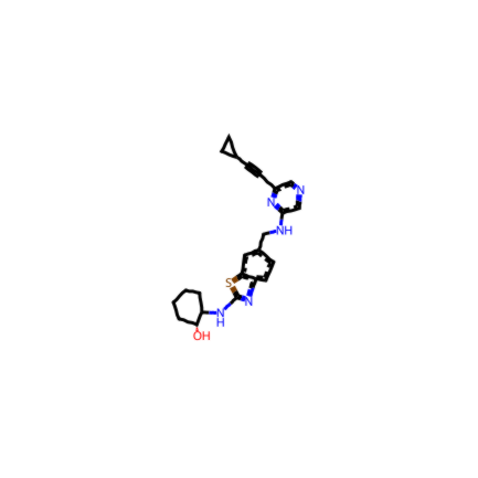 O[C@@H]1CCCCC1Nc1nc2ccc(CNc3cncc(C#CC4CC4)n3)cc2s1